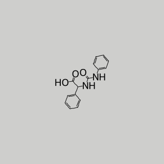 O=C(Nc1ccccc1)NC(C(=O)O)c1ccccc1